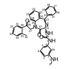 CNc1cccc(NC(=O)N[C@@H]2N=C(c3ccccc3)c3ccccc3N(CC(=O)c3ccccc3C)C2=O)c1